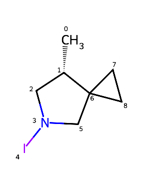 C[C@H]1CN(I)CC12CC2